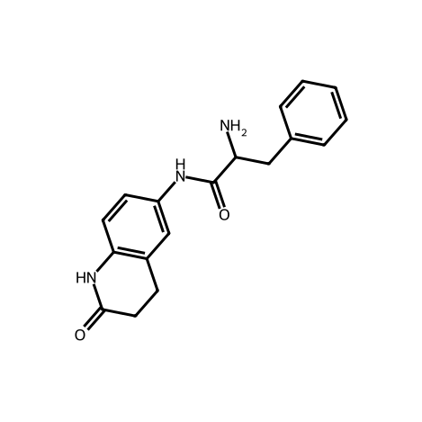 NC(Cc1ccccc1)C(=O)Nc1ccc2c(c1)CCC(=O)N2